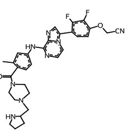 Cc1cc(Nc2nccn3c(-c4ccc(OCC#N)c(F)c4F)cnc23)ccc1C(=O)N1CCN(CC2CCCN2)CC1